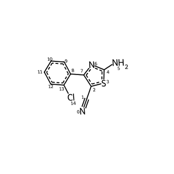 N#Cc1sc(N)nc1-c1ccccc1Cl